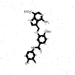 CCOC(=O)c1cnc(N)c2c(COc3cc(C(=O)Nc4ccc(Cl)c(C)c4)ccc3OC)csc12